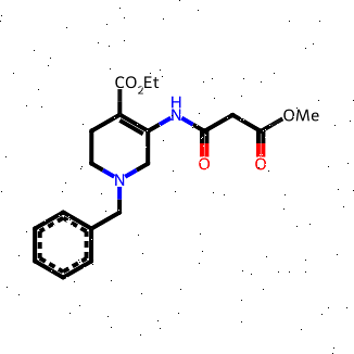 CCOC(=O)C1=C(NC(=O)CC(=O)OC)CN(Cc2ccccc2)CC1